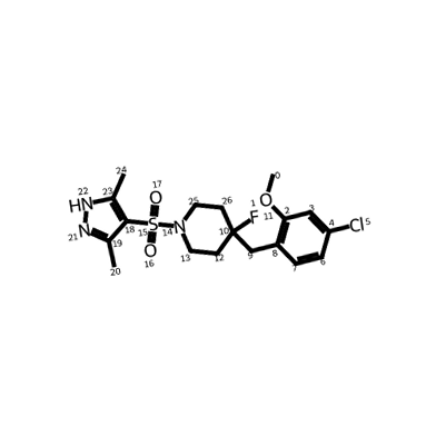 COc1cc(Cl)ccc1CC1(F)CCN(S(=O)(=O)c2c(C)n[nH]c2C)CC1